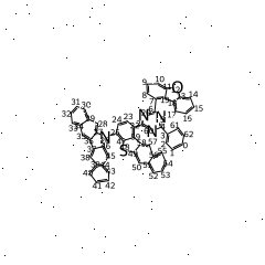 c1ccc(-c2nc(-c3cccc4oc5ccccc5c34)nc(-c3ccc(-n4c5cc6ccccc6cc5c5cc6ccccc6cc54)c4sc5cc6ccccc6cc5c34)n2)cc1